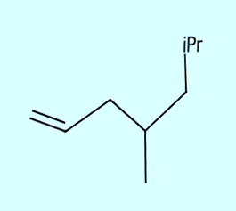 [CH2]C(C)CC(C)CC=C